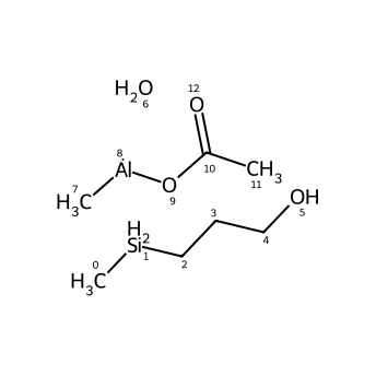 C[SiH2]CCCO.O.[CH3][Al][O]C(C)=O